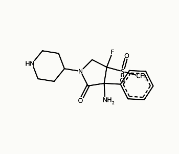 CS(=O)(=O)C1(F)CN(C2CCNCC2)C(=O)C1(N)c1ccccc1